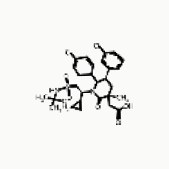 CC(C)(C)NS(=O)(=O)C[C@H](C1CC1)N1C(=O)[C@@](C)(CC(=O)O)C[C@H](c2cccc(Cl)c2)C1C1C=CC(Cl)=CC1